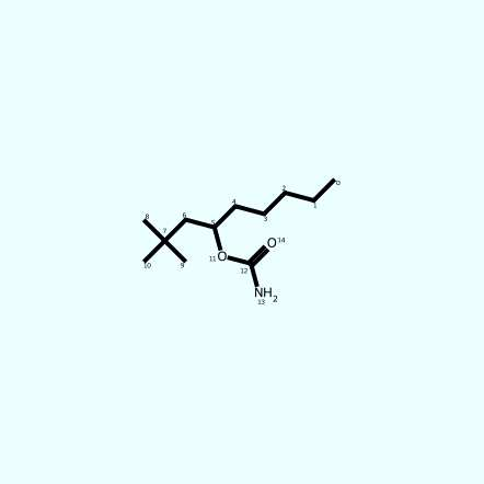 CCCCCC(CC(C)(C)C)OC(N)=O